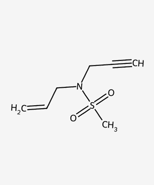 C#CCN(CC=C)S(C)(=O)=O